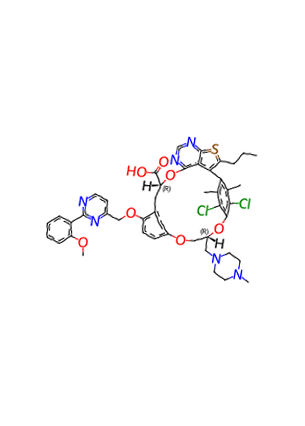 CCCc1sc2ncnc3c2c1-c1c(C)c(Cl)c(c(Cl)c1C)O[C@H](CN1CCN(C)CC1)COc1ccc(OCc2ccnc(-c4ccccc4OC)n2)c(c1)C[C@H](C(=O)O)O3